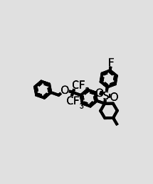 CC1CCC(c2ccc(C(OCc3ccccc3)(C(F)(F)F)C(F)(F)F)cc2)(S(=O)(=O)c2ccc(F)cc2)CC1